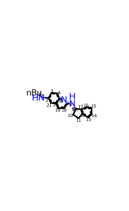 CCCCNc1ccc2nc(N[C@@H]3CCc4ccccc43)ccc2c1